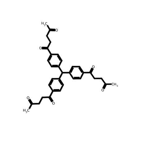 CC(=O)CCC(=O)c1ccc([C](c2ccc(C(=O)CCC(C)=O)cc2)c2ccc(C(=O)CCC(C)=O)cc2)cc1